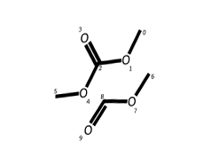 COC(=O)OC.COC=O